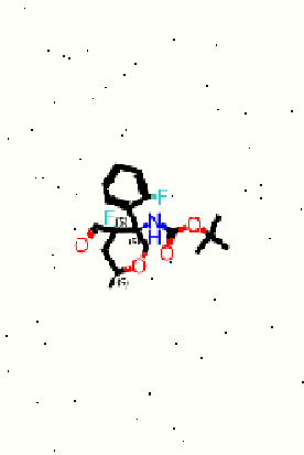 C[C@H]1C[C@@](F)(C=O)[C@](NC(=O)OC(C)(C)C)(c2ccccc2F)CO1